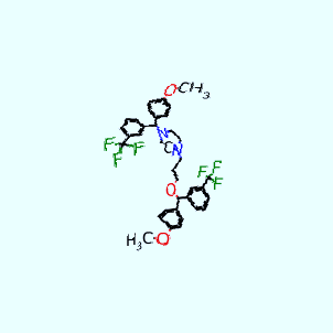 COc1ccc(C(OCCCN2CCN(C(c3ccc(OC)cc3)c3cccc(C(F)(F)F)c3)CC2)c2cccc(C(F)(F)F)c2)cc1